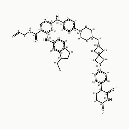 C=CCNC(=O)c1cnc(Nc2ccc(N3CCC(CN4CC5(C4)CN(c4ccc(C6CCC(=O)NC6=O)cc4)C5)CC3)cc2)nc1Nc1ccc2c(n1)C(CC)CC2